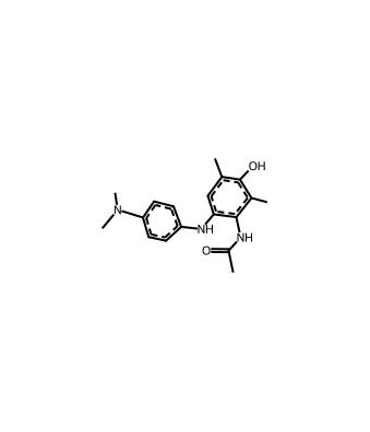 CC(=O)Nc1c(Nc2ccc(N(C)C)cc2)cc(C)c(O)c1C